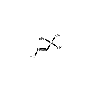 CCC[Si](C=NO)(CCC)CCC